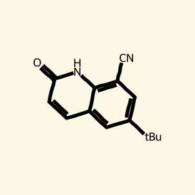 CC(C)(C)c1cc(C#N)c2[nH]c(=O)ccc2c1